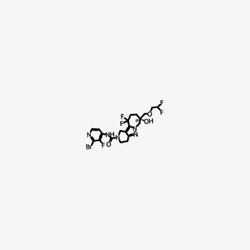 O=C(Nc1ccnc(Br)c1F)N1CCc2nn3c(c2C1)C(F)(F)CC[C@](O)(COCC(F)F)C3